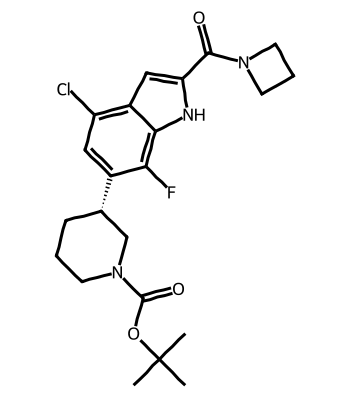 CC(C)(C)OC(=O)N1CCC[C@H](c2cc(Cl)c3cc(C(=O)N4CCC4)[nH]c3c2F)C1